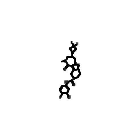 CN1CC(N2CC(F)(F)C2)Cn2nc3c(c2C1=O)CN(C(=O)Nc1ccc(F)c(Cl)c1)CC3